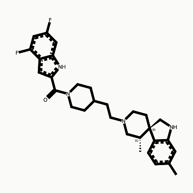 Cc1ccc2c(c1)NC[C@@]21CCN(CCC2CCN(C(=O)c3cc4c(F)cc(F)cc4[nH]3)CC2)C[C@H]1C